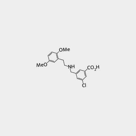 COc1ccc(OC)c(CCNCc2cc(Cl)cc(C(=O)O)c2)c1